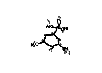 CC1CC(P(=O)(O)O)CC(N)S1